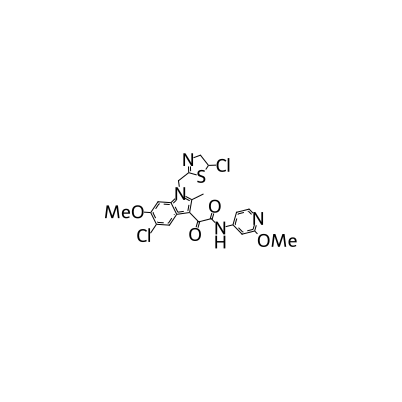 COc1cc(NC(=O)C(=O)c2c(C)n(CC3=NCC(Cl)S3)c3cc(OC)c(Cl)cc23)ccn1